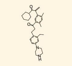 C=C(C(=O)C1CCCCC1)c1cc(C(=O)CCc2ccc(N3CCNCC3)cc2CC)c(C)cc1C